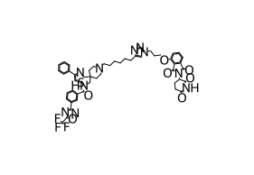 O=C1CCC(N2C(=O)c3cccc(OCCCn4cc(CCCCCCN5CCC(CNC(=O)c6cccc(-c7noc(C(F)(F)F)n7)c6)(c6nc(-c7ccccc7)cs6)CC5)nn4)c3C2=O)C(=O)N1